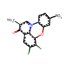 O=C(O)c1cn2c3c(c(F)c(F)cc3c1=O)Oc1cc([N+](=O)[O-])ccc1-2